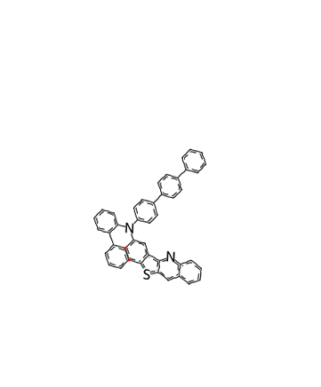 c1ccc(-c2ccc(-c3ccc(N(c4ccc5sc6cc7ccccc7nc6c5c4)c4ccccc4-c4ccccc4)cc3)cc2)cc1